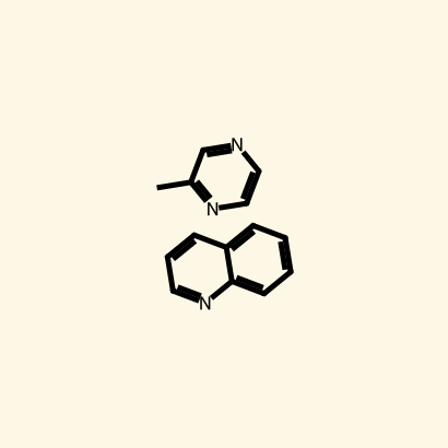 Cc1cnccn1.c1ccc2ncccc2c1